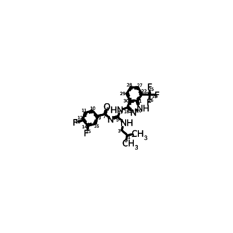 CC(C)CN/C(=N/C(=O)c1ccc(F)c(F)c1)Nc1n[nH]c2c(C(F)(F)F)cccc12